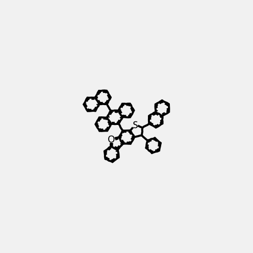 c1ccc(C2c3cc4c(oc5ccccc54)c(-c4c5ccccc5c(-c5cccc6ccccc56)c5ccccc45)c3SC2c2ccc3ccccc3c2)cc1